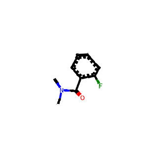 CN(C)C(=O)c1cc[c]cc1F